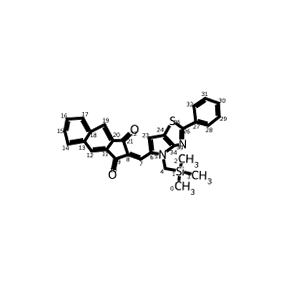 C[Si](C)(C)Cn1c(C=C2C(=O)c3cc4ccccc4cc3C2=O)cc2sc(-c3ccccc3)nc21